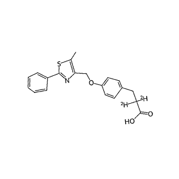 [2H]C([2H])(Cc1ccc(OCc2nc(-c3ccccc3)sc2C)cc1)C(=O)O